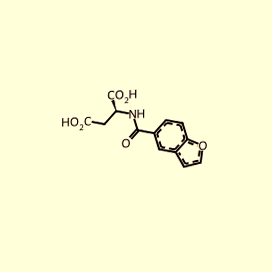 O=C(O)C[C@H](NC(=O)c1ccc2occc2c1)C(=O)O